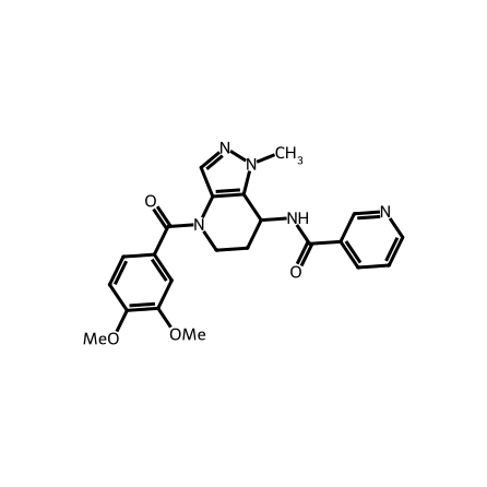 COc1ccc(C(=O)N2CCC(NC(=O)c3cccnc3)c3c2cnn3C)cc1OC